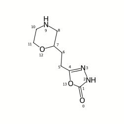 O=c1[nH]nc(CCC2CNCCO2)o1